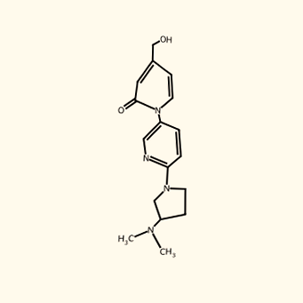 CN(C)C1CCN(c2ccc(-n3ccc(CO)cc3=O)cn2)C1